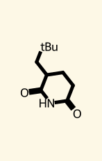 CC(C)(C)CC1CCC(=O)NC1=O